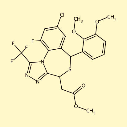 COC(=O)CC1SC(c2cccc(OC)c2OC)c2cc(Cl)cc(F)c2-n2c1nnc2C(F)(F)F